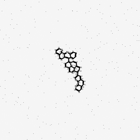 C1=CC2=C(c3c4ccccc4nc4c3ccc3cccnc34)C=CC3=CC=C4C(c5cnc6c(ccc7cccnc76)c5)=CC=C1C4C32